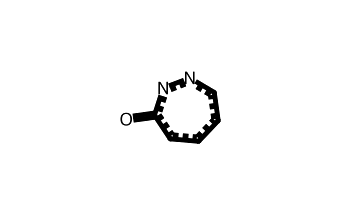 O=c1ccccnn1